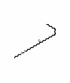 CCCCC/C=C\C/C=C\CCCCCCCCC(=O)CCCCCCCCCSCSCCCCC